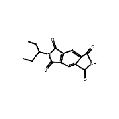 CCC(CC)n1c(=O)c2cc3c(=O)[nH]c(=O)c3cc2c1=O